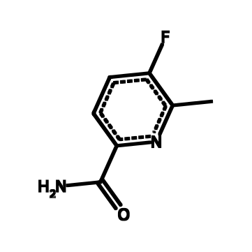 Cc1nc(C(N)=O)ccc1F